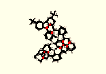 CC(C)(C)c1ccc2c(c1)-c1cc(C(C)(C)C)ccc1C2c1ccc2c(c1)N(c1c(-c3ccccc3)cccc1-c1ccccc1)c1cc(-c3ccccc3)cc3c1B2c1ccc(N2C4CCCC2CCC4)cc1N3c1c(-c2ccccc2)cccc1-c1ccccc1